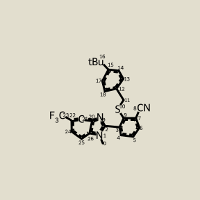 Cn1c(-c2cccc(C#N)c2SCc2ccc(C(C)(C)C)cc2)nc2cc(C(F)(F)F)ccc21